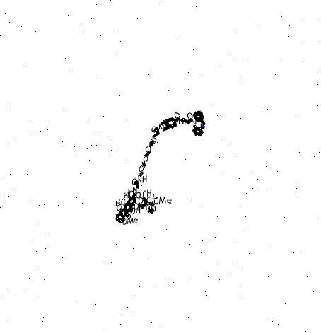 COc1cccc2c1C(=O)c1c(O)c3c(c(O)c1C2=O)CC(O)(C(=O)NCC(=O)NCCOCCOCCOCCOCCC(=O)N1CCC2(CCC(C(=O)NCCC(=O)N4Cc5ccccc5/C=C\c5ccccc54)CC2)CC1)CC3OC1CC2C(OC3C(OC)OCCN23)C(C)O1